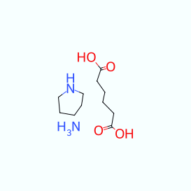 C1CCNCC1.N.O=C(O)CCCCC(=O)O